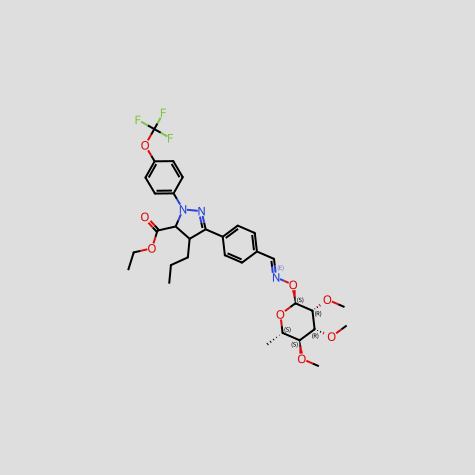 CCCC1C(c2ccc(/C=N/O[C@@H]3O[C@@H](C)[C@H](OC)[C@@H](OC)[C@H]3OC)cc2)=NN(c2ccc(OC(F)(F)F)cc2)C1C(=O)OCC